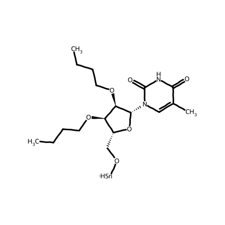 CCCCO[C@@H]1[C@H](OCCCC)[C@@H](C[O][SnH])O[C@H]1n1cc(C)c(=O)[nH]c1=O